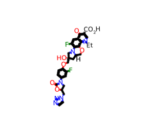 CCn1cc(C(=O)O)c(=O)c2cc(F)c3c(c21)OC[C@@H]1C[C@@](O)(COc2ccc(N4CC(Cn5ccnn5)OC4=O)cc2F)CN31